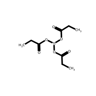 CCC(=O)[O][Ti]([O]C(=O)CC)[O]C(=O)CC